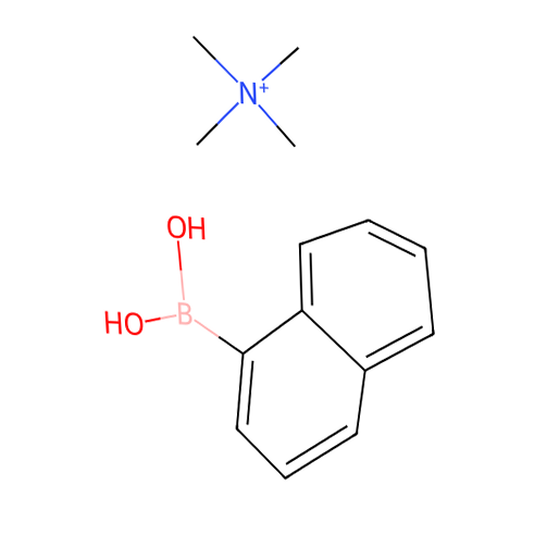 C[N+](C)(C)C.OB(O)c1cccc2ccccc12